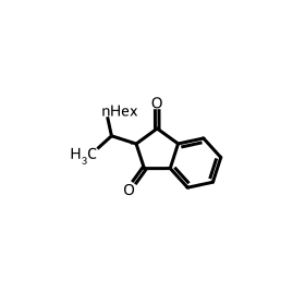 CCCCCCC(C)[C]1C(=O)c2ccccc2C1=O